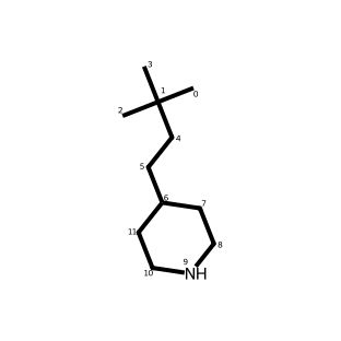 CC(C)(C)C[CH]C1CCNCC1